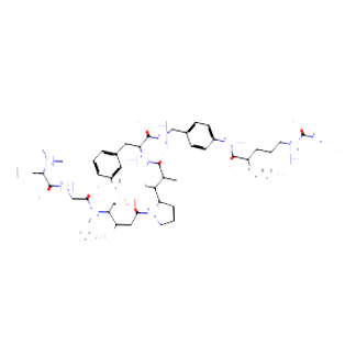 CCC(C)C(C(CC(=O)N1CCCC1C(OC)C(C)C(=O)NC(Cc1ccccc1)C(=O)NCc1ccc(NC(=O)C(CCCNC(N)=O)NC)cc1)OC)N(C)C(=O)CNC(=O)C(C(C)C)N(C)C